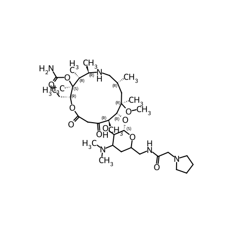 CC[C@H]1OC(=O)CC(=O)[C@H](C)[C@@H](O[C@@H]2OC(CNC(=O)CN3CCCC3)CC(N(C)C)C2O)[C@](C)(OC)C[C@@H](C)CN[C@H](C)[C@@H](C)[C@]1(C)OC(N)=O